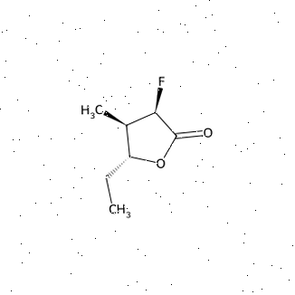 CC[C@H]1OC(=O)[C@H](F)[C@@H]1C